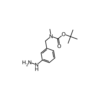 CN(Cc1cccc(NN)c1)C(=O)OC(C)(C)C